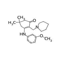 COc1cccc(NC2=C(CN3CCCCC3)C(=O)CC(C)(C)C2)c1